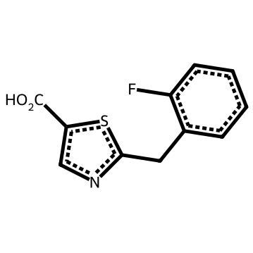 O=C(O)c1cnc(Cc2ccccc2F)s1